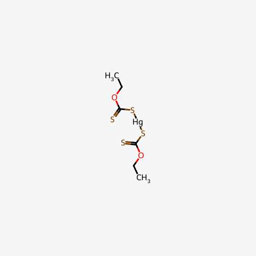 CCOC(=S)[S][Hg][S]C(=S)OCC